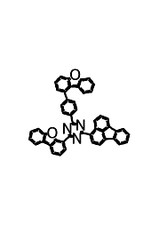 c1ccc2c(c1)-c1cccc3c(-c4nc(-c5ccc(-c6cccc7oc8ccccc8c67)cc5)nc(-c5cccc6c5oc5ccccc56)n4)ccc-2c13